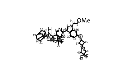 COC[C@@H](C)n1cc(-c2ncc(C(=O)NC3(C(=O)O)C4CC5CC(C4)CC3C5)c(C(C)(F)F)n2)c2ccc(OC3CC(N4CC(F)(F)C4)C3)cc21